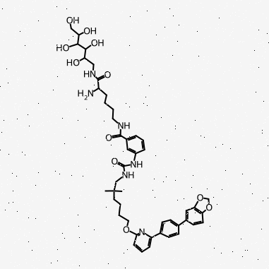 CC(C)(CCCCOc1cccc(-c2ccc(-c3ccc4c(c3)OCO4)cc2)n1)CNC(=O)Nc1cccc(C(=O)NCCCCC(N)C(=O)NCC(O)C(O)C(O)C(O)CO)c1